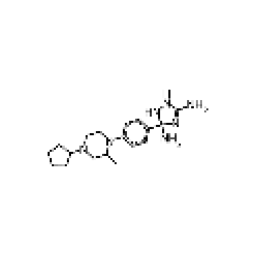 CC1CN(C2CCCC2)CCN1c1ccc(C2(N)N=C(N)NN2)cc1